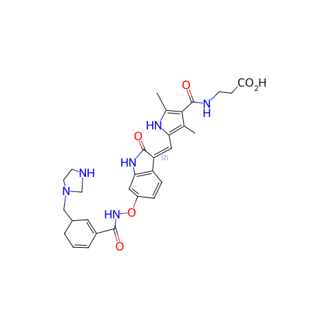 Cc1[nH]c(/C=C2\C(=O)Nc3cc(ONC(=O)C4=CC(CN5CCNC5)CC=C4)ccc32)c(C)c1C(=O)NCCC(=O)O